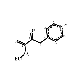 C=C(OCC)C(=O)Cc1ccncc1